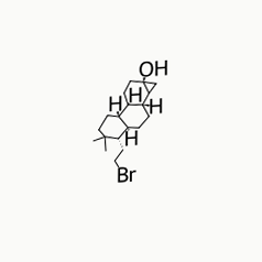 CC1(C)CC[C@@H]2[C@H]3CC[C@]4(O)CC4[C@@H]3CC[C@H]2[C@@H]1CCBr